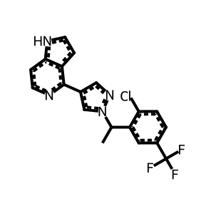 CC(c1cc(C(F)(F)F)ccc1Cl)n1cc(-c2nccc3[nH]ccc23)cn1